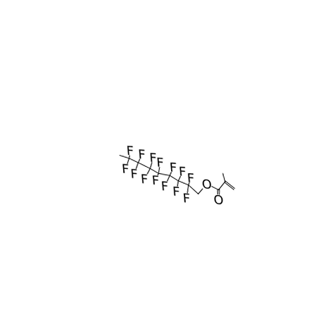 C=C(C)C(=O)OCC(F)(F)C(F)(F)C(F)(F)C(F)(F)C(F)(F)C(F)(F)C(C)(F)F